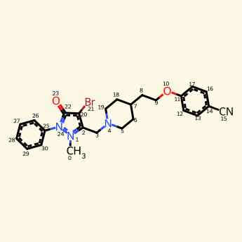 Cn1c(CN2CCC(CCOc3ccc(C#N)cc3)CC2)c(Br)c(=O)n1-c1ccccc1